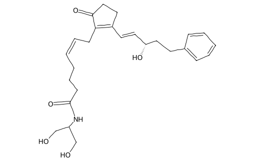 O=C(CCC/C=C\CC1=C(/C=C/[C@@H](O)CCc2ccccc2)CCC1=O)NC(CO)CO